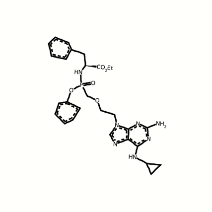 CCOC(=O)[C@H](Cc1ccccc1)NP(=O)(COCCn1cnc2c(NC3CC3)nc(N)nc21)Oc1ccccc1